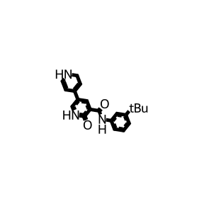 CC(C)(C)c1cccc(NC(=O)c2cc(C3=CCNC=C3)c[nH]c2=O)c1